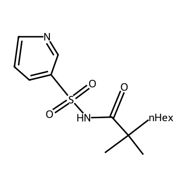 CCCCCCC(C)(C)C(=O)NS(=O)(=O)c1cccnc1